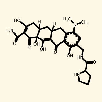 CN(C)c1cc(CNC(=O)C2CCCN2)c(O)c2c1C[C@H]1C[C@H]3CC(O)=C(C(N)=O)C(=O)[C@@]3(O)C(O)=C1C2=O